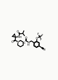 CC(C)C(=O)NC1(C(=O)N2CCC[C@@H](C(=O)NCc3ccc(C#N)cc3OC(F)(F)F)C2)CC1